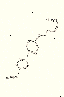 CCCCCCC/C=C\CCOc1ccc(-c2ncc(CCCCCCC)cn2)cc1